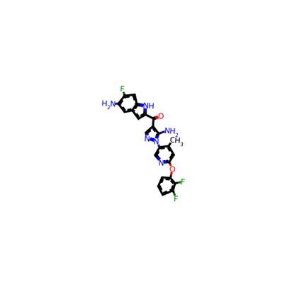 Cc1cc(Oc2cccc(F)c2F)ncc1-n1ncc(C(=O)c2cc3cc(N)c(F)cc3[nH]2)c1N